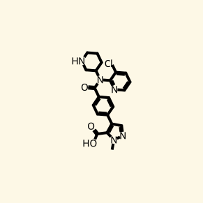 Cn1ncc(-c2ccc(C(=O)N(c3ncccc3Cl)C3CCCNC3)cc2)c1C(=O)O